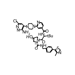 Cc1ncsc1-c1ccc(CNC(=O)[C@@H]2C[C@@H](O)CN2C(=O)C(NC(=O)c2ccnc(N3CCN(c4cc(Cl)nnc4N)CC3)c2)C(C)(C)C)cc1